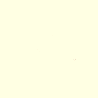 COCCNc1cc(N2CC([AsH2])C2)cnn1